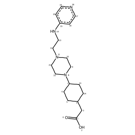 O=C(O)CC1CCC(N2CCN(CCNc3ccncc3)CC2)CC1